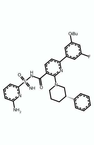 CC(C)COc1cc(F)cc(-c2ccc(C(=O)NS(=N)(=O)c3cccc(N)n3)c(N3CCC[C@@H](c4ccccc4)C3)n2)c1